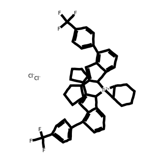 FC(F)(F)c1ccc(-c2cccc3c2C=C(C2CCCC2)[CH]3[Ti+2]2([CH]3C(C4CCCC4)=Cc4c(-c5ccc(C(F)(F)F)cc5)cccc43)[CH]3CCCC[CH]32)cc1.[Cl-].[Cl-]